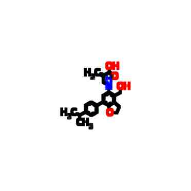 C=C(CNc1cc(-c2ccc(C(C)C)cc2)c2c(c1CO)CCO2)C(=O)O